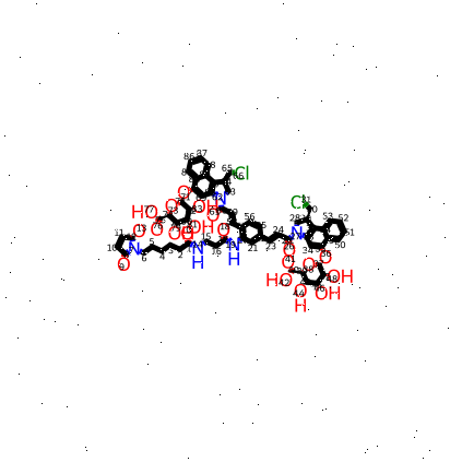 O=C(CCCCCN1C(=O)C=CC1=O)NCCC(=O)Nc1cc(/C=C/C(=O)N2C[C@@H](CCl)c3c2cc(O[C@@H]2O[C@H](C(=O)O)[C@@H](O)[C@H](O)[C@H]2O)c2ccccc32)ccc1/C=C/C(=O)N1CC(CCl)c2c1cc(O[C@@H]1O[C@H](C(=O)O)[C@@H](O)[C@H](O)[C@H]1O)c1ccccc21